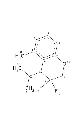 Cc1cccc2c1C(C(C)C)C(F)(F)CO2